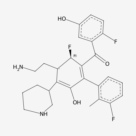 Cc1c(F)cccc1C1=C(C(=O)c2cc(O)ccc2F)[C@H](F)[C](CCN)C(C2CCCNC2)=C1O